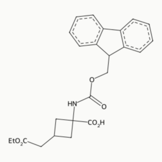 CCOC(=O)CC1CC(NC(=O)OCC2c3ccccc3-c3ccccc32)(C(=O)O)C1